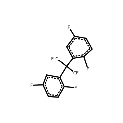 Fc1ccc(F)c(C(c2cc(F)ccc2F)(C(F)(F)F)C(F)(F)F)c1